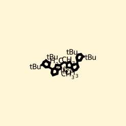 CC1(C)C2=Cc3c(-c4cc(C(C)(C)C)cc(C(C)(C)C)c4)cccc3[CH]2[Hf]([CH3])([CH3])[CH]2C1=Cc1c(-c3cc(C(C)(C)C)cc(C(C)(C)C)c3)cccc12